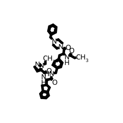 CCC(=O)NC(Cc1ccc(CNC(=O)[C@@H](NC(=O)c2ccnn2CC)C2Cc3ccccc3C2)cc1)C(=O)N1CCN(Cc2ccccc2)CC1